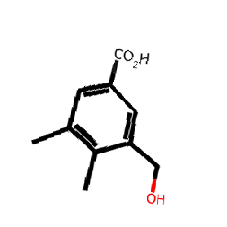 Cc1cc(C(=O)O)cc(CO)c1C